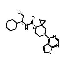 O=C(N[C@H](CO)C1CCCCC1)[C@H]1CCN(c2ncnc3[nH]ccc23)CC12CC2